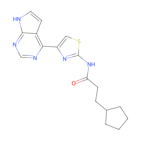 O=C(CCC1CCCC1)Nc1nc(-c2ncnc3[nH]ccc23)cs1